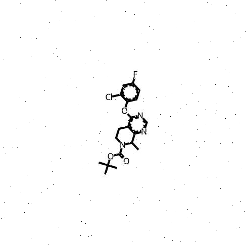 CC1c2ncnc(Oc3ccc(F)cc3Cl)c2CCN1C(=O)OC(C)(C)C